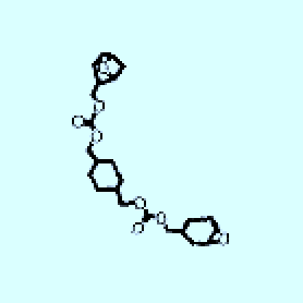 O=C(OCC1CCC(COC(=O)OCC2CCC3CC2O3)CC1)OCC1CCC2OC2C1